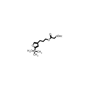 CCCCCCCCCCCC(=O)OCCCc1coc([Si](C)(C)C)c1